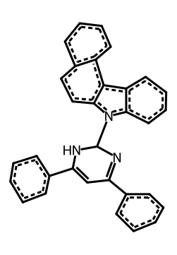 C1=C(c2ccccc2)NC(n2c3ccccc3c3c4ccccc4ccc32)N=C1c1ccccc1